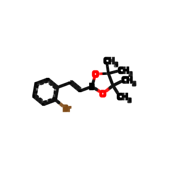 CC1(C)OB(C=Cc2ccccc2Br)OC1(C)C